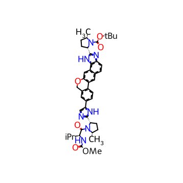 COC(=O)N[C@H](C(=O)N1[C@@H](C)CC[C@H]1c1ncc(-c2ccc3c(c2)COc2cc4c(ccc5nc([C@@H]6CC[C@H](C)N6C(=O)OC(C)(C)C)[nH]c54)cc2-3)[nH]1)C(C)C